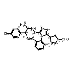 COc1cccc(OC)c1-n1c(SNC(C)C(C)c2ncc(Cl)cn2)nnc1C1CCN(C=O)C1